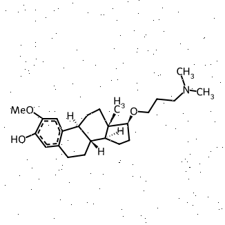 COc1cc2c(cc1O)CC[C@@H]1[C@@H]2CC[C@]2(C)[C@@H](OCCCN(C)C)CC[C@@H]12